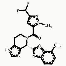 Cc1cccc2nc([C@@H]3c4nc[nH]c4CCN3C(=O)c3cc(C(F)F)nn3C)oc12